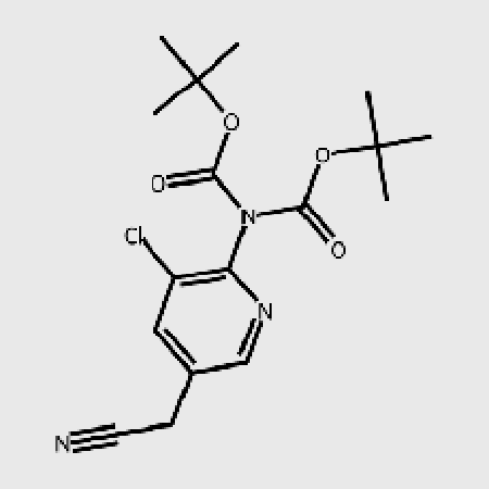 CC(C)(C)OC(=O)N(C(=O)OC(C)(C)C)c1ncc(CC#N)cc1Cl